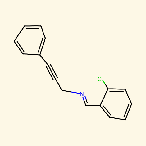 Clc1ccccc1C=NCC#Cc1ccccc1